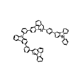 c1ccc(-n2c3ccccc3c3cc(-c4ccc(-c5cc6cccc7c6c(n5)-c5ccc(-c6cccc(-n8c9ccccc9c9cc(-c%10cccc(-c%11cc%12cccc%13c%12c(n%11)-c%11ccccc%11-%13)c%10)ccc98)c6)cc5-7)cc4)ccc32)cc1